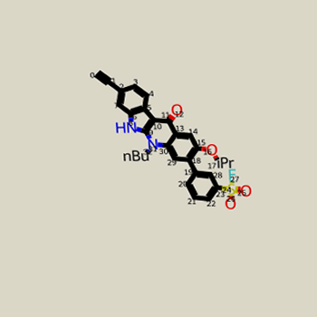 C#Cc1ccc2c(c1)[nH]c1c2c(=O)c2cc(OC(C)C)c(-c3cccc(S(=O)(=O)F)c3)cc2n1CCCC